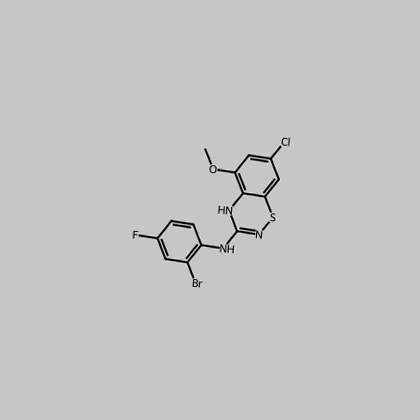 COc1cc(Cl)cc2c1NC(Nc1ccc(F)cc1Br)=NS2